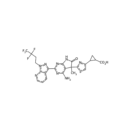 CC1(c2nc(C3CC3C(=O)O)cs2)C(=O)Nc2nc(-c3nn(CCC(F)(F)C(F)(F)F)c4ncccc34)nc(N)c21